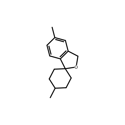 Cc1ccc2c(c1)COC21CCC(C)CC1